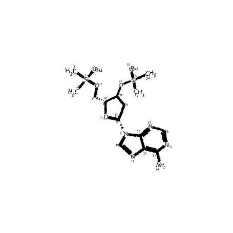 CC(C)(C)[Si](C)(C)OC[C@H]1O[C@@H](n2cnc3c(N)ncnc32)CC1O[Si](C)(C)C(C)(C)C